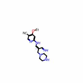 CCOc1cc(N/C=C(\C=N)CN2CCNCC2)ncc1C#N